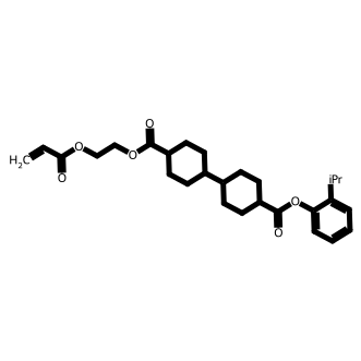 C=CC(=O)OCCOC(=O)C1CCC(C2CCC(C(=O)Oc3ccccc3C(C)C)CC2)CC1